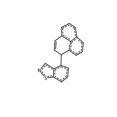 C1=CC(c2cccc3sncc23)c2cccc3cccc1c23